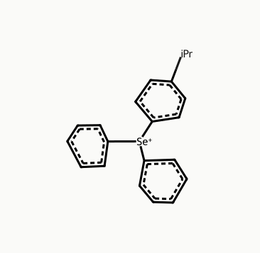 CC(C)c1ccc([Se+](c2ccccc2)c2ccccc2)cc1